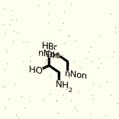 Br.CCCCCCCCCCCCCCCCCCC.NCC(O)O